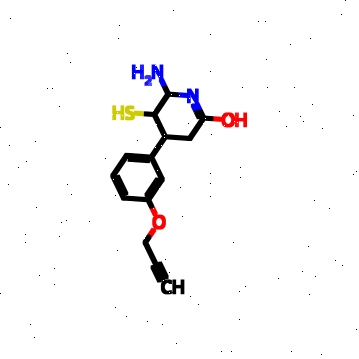 C#CCOc1cccc(C2CC(O)=NC(N)C2S)c1